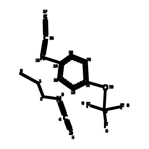 CCCN=C=S.FC(F)(F)Oc1ccc(N=C=S)cc1